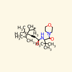 CC(C)[Si](C#CC(=O)NC(C(=O)N1CCOCC1)C(C)(C)C)(C(C)C)C(C)C